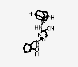 N#Cc1cnc(NCc2ccccc2O)nc1NC[C@]12CC3C[C@H](C1)C(=O)[C@@H](C3)C2